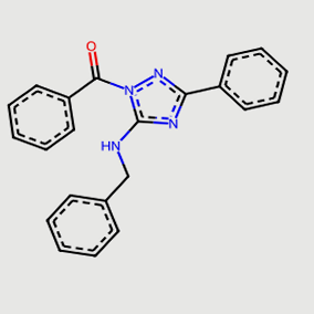 O=C(c1ccccc1)n1nc(-c2ccccc2)nc1NCc1ccccc1